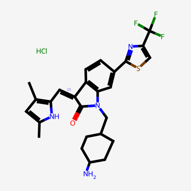 Cc1cc(C)c(/C=C2\C(=O)N(CC3CCC(N)CC3)c3cc(-c4nc(C(F)(F)F)cs4)ccc32)[nH]1.Cl